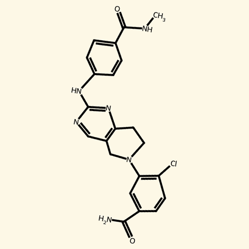 CNC(=O)c1ccc(Nc2ncc3c(n2)CCN(c2cc(C(N)=O)ccc2Cl)C3)cc1